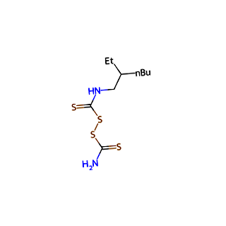 CCCCC(CC)CNC(=S)SSC(N)=S